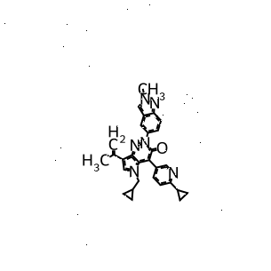 C=C(C)c1cn(CC2CC2)c2c(-c3ccc(C4CC4)nc3)c(=O)n(-c3ccc4nn(C)cc4c3)nc12